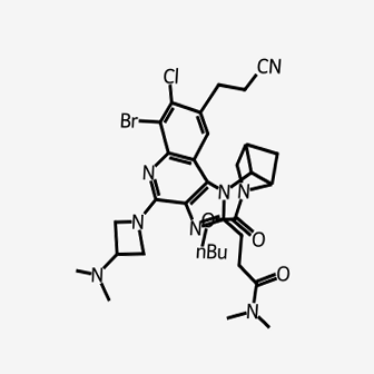 CCCCOC(=O)N1CC2CC1C2n1c(CCC(=O)N(C)C)nc2c(N3CC(N(C)C)C3)nc3c(Br)c(Cl)c(CCC#N)cc3c21